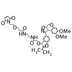 C=C(C)[C@@H]1Oc2ccc(C3=NOC4COc5cc(OC)c(OC)cc5C34)cc2C1OCC(=O)NCCNC(=O)CCOCCN1C(=O)C=CC1=O